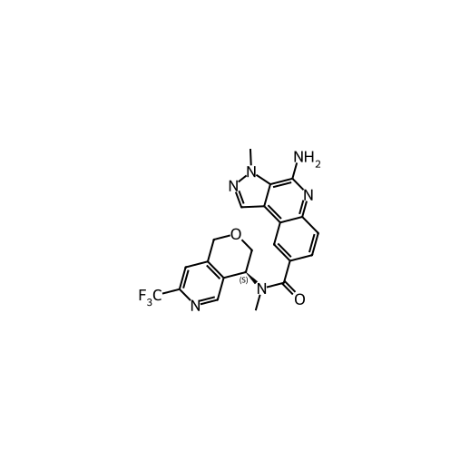 CN(C(=O)c1ccc2nc(N)c3c(cnn3C)c2c1)[C@@H]1COCc2cc(C(F)(F)F)ncc21